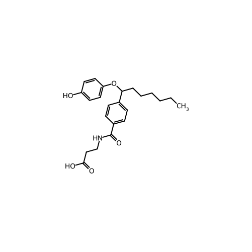 CCCCCCC(Oc1ccc(O)cc1)c1ccc(C(=O)NCCC(=O)O)cc1